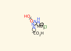 CC(C)(O)COc1nc(Nc2ccc(Cl)cc2)c([N+](=O)[O-])c(N2CCC(C)(C(=O)O)CC2)n1